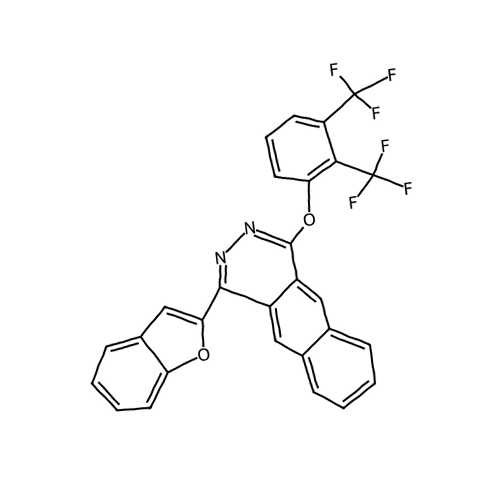 FC(F)(F)c1cccc(Oc2nnc(-c3cc4ccccc4o3)c3cc4ccccc4cc23)c1C(F)(F)F